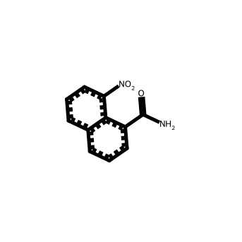 NC(=O)c1cccc2cccc([N+](=O)[O-])c12